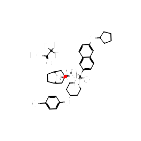 NC1CC2CCC(C1)N2C(=O)[C@@H]1C[C@H](Oc2ccc(Cl)cc2)CCN1S(=O)(=O)c1ccc2cc(OC3CCCC3)ccc2c1.O=C(O)C(F)(F)F